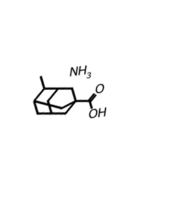 CC1C2CC3CC1CC(C(=O)O)(C3)C2.N